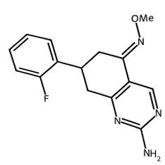 CON=C1CC(c2ccccc2F)Cc2nc(N)ncc21